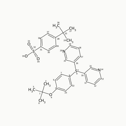 CC(C)(C)Oc1ccc([S+](c2cccnc2)c2cccnc2)cc1.CC(C)(C)c1ccc(S(=O)(=O)[O-])cc1